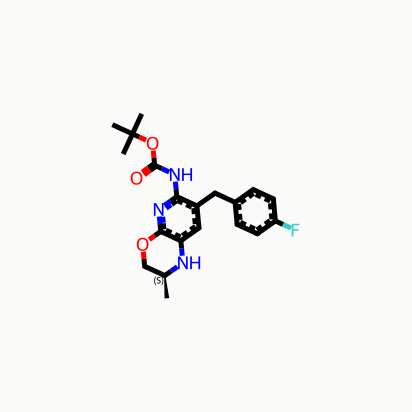 C[C@H]1COc2nc(NC(=O)OC(C)(C)C)c(Cc3ccc(F)cc3)cc2N1